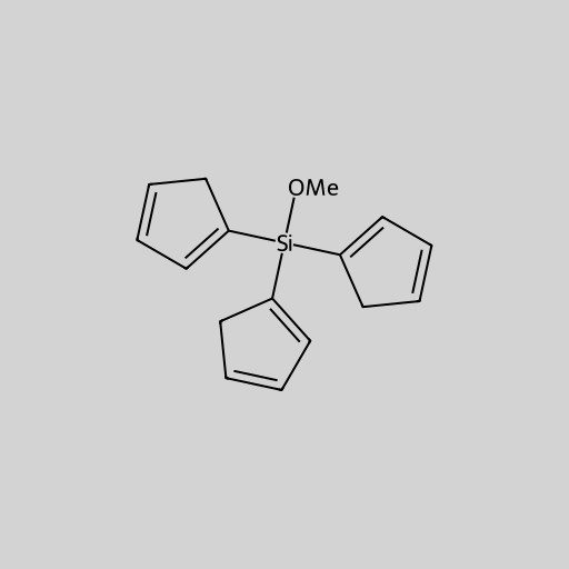 CO[Si](C1=CC=CC1)(C1=CC=CC1)C1=CC=CC1